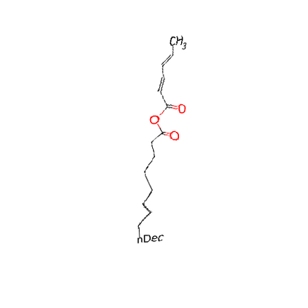 C/C=C/C=C/C(=O)OC(=O)CCCCCCCCCCCCCCCCC